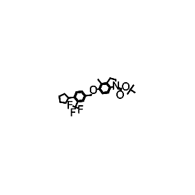 Cc1c(OCc2ccc(C3CCCC3)c(C(F)(F)F)c2)ccc2c1CCN2C(=O)OC(C)(C)C